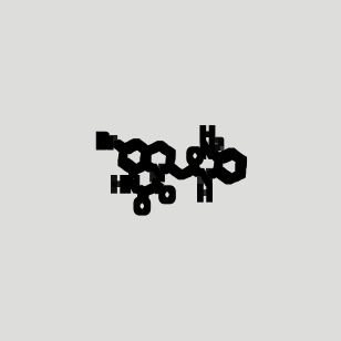 Nc1ccccc1NC(=O)CC1CCc2cc(Br)cc3[nH]c(=O)c(=O)n1c23